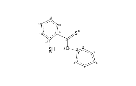 S=C(Oc1ccccc1)c1ccccc1S